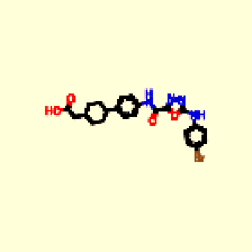 O=C(O)CC1CCC(c2ccc(NC(=O)c3nnc(Nc4ccc(Br)cc4)o3)cc2)CC1